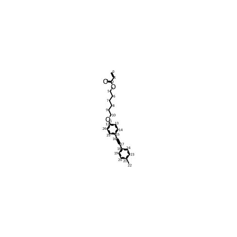 C=CC(=O)OCCCCCCOc1ccc(C#Cc2ccc(C)cc2)cc1